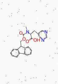 CN(C(=O)OCC1c2ccccc2-c2ccccc21)C(Cc1cncnc1)C(=O)O